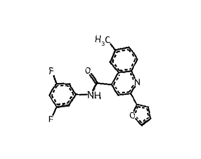 Cc1ccc2nc(-c3ccco3)cc(C(=O)Nc3cc(F)cc(F)c3)c2c1